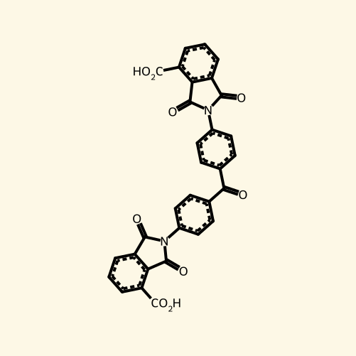 O=C(c1ccc(N2C(=O)c3cccc(C(=O)O)c3C2=O)cc1)c1ccc(N2C(=O)c3cccc(C(=O)O)c3C2=O)cc1